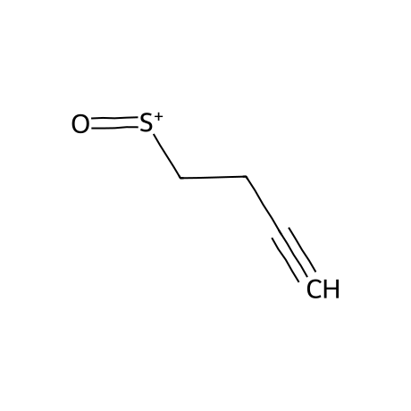 C#CCC[S+]=O